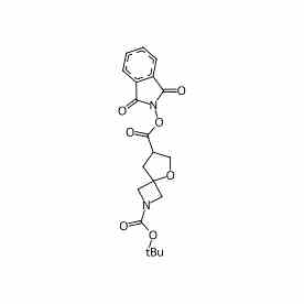 CC(C)(C)OC(=O)N1CC2(CC(C(=O)ON3C(=O)c4ccccc4C3=O)CO2)C1